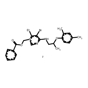 CCc1c(Br)c(NCC(C)Oc2ccc(C)cc2C)nc[n+]1COC(=O)c1ccccc1.[I-]